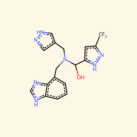 OC(c1cc(C(F)(F)F)n[nH]1)N(Cc1cn[nH]c1)Cc1cccc2[nH]cnc12